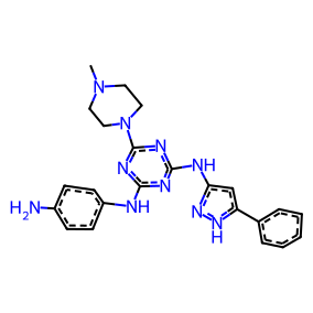 CN1CCN(c2nc(Nc3ccc(N)cc3)nc(Nc3cc(-c4ccccc4)[nH]n3)n2)CC1